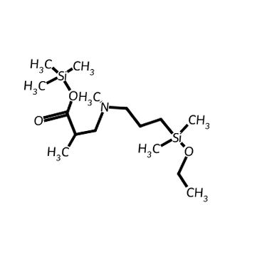 CCO[Si](C)(C)CCCN(C)CC(C)C(=O)O[Si](C)(C)C